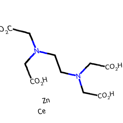 O=C(O)CN(CCN(CC(=O)O)CC(=O)O)CC(=O)O.[Ce].[Zn]